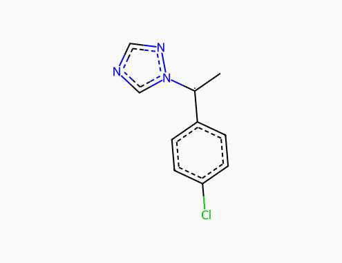 C[C](c1ccc(Cl)cc1)n1cncn1